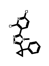 Cn1c(-c2ccc(Cl)nc2Cl)nnc1C1(c2ccccc2)CC1